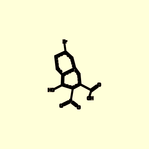 O=C(O)c1cc2cc(Br)ccc2c(O)c1P(=O)=O